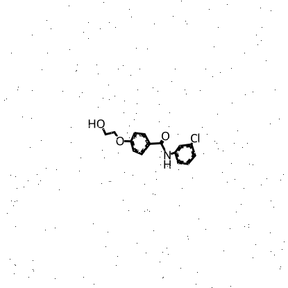 O=C(Nc1cccc(Cl)c1)c1ccc(OCCO)cc1